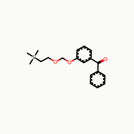 C[Si](C)(C)CCOCOc1cccc(C(=O)c2ccccc2)c1